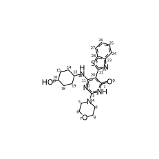 O=c1[nH]c(N2CCOCC2)nc(NC2CCC(O)CC2)c1-c1nc2ccccc2s1